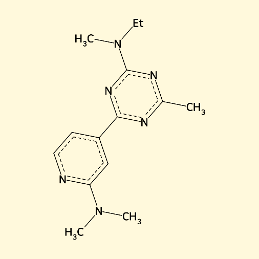 CCN(C)c1nc(C)nc(-c2ccnc(N(C)C)c2)n1